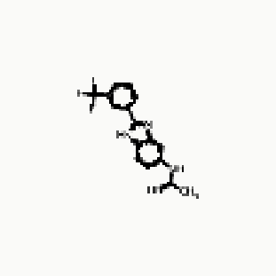 CC(=N)Nc1ccc2[nH]c(-c3cccc(C(F)(F)F)c3)nc2c1